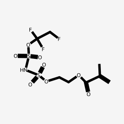 C=C(C)C(=O)OCCOS(=O)(=O)NS(=O)(=O)OC(F)(F)CF